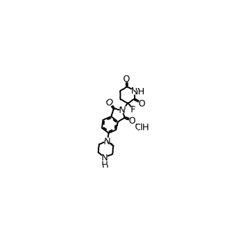 Cl.O=C1CCC(F)(N2C(=O)c3ccc(N4CCNCC4)cc3C2=O)C(=O)N1